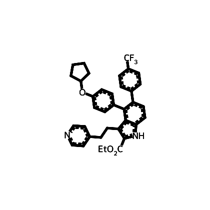 CCOC(=O)c1[nH]c2ccc(-c3ccc(C(F)(F)F)cc3)c(-c3ccc(OC4CCCC4)cc3)c2c1CCc1ccncc1